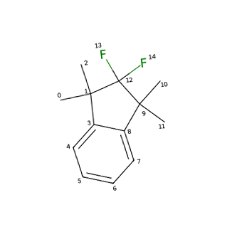 CC1(C)c2ccccc2C(C)(C)C1(F)F